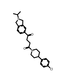 CC(C)N1Cc2ccc(C(=O)CCC(=O)N3CCC(c4ccc(Cl)cc4)CC3)cc2C1